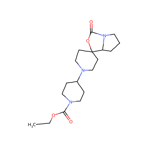 CCOC(=O)N1CCC(N2CCC3(CC2)OC(=O)N2CCCC23)CC1